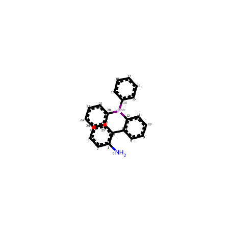 Nc1ccccc1-c1ccccc1P(c1ccccc1)c1ccccc1